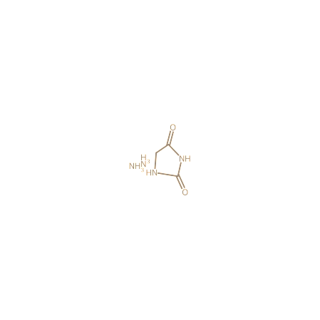 N.N.O=C1CNC(=O)N1